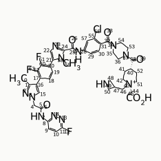 Cc1nn(CC(=O)Nc2ccc(F)nn2)cc1-c1ccc(-c2cnc(C(=O)Nc3ccc(C(=O)N4CCN(C(=O)[C@H]5CC[N@+](CC(=O)O)(CC6CNC6)CC5)CC4)c(Cl)c3)n2C)c(F)c1F